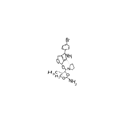 CCC(C)C(OC(N)=O)C(=O)N1CCC[C@H]1c1[nH]c(-c2ccc(Br)cc2)c2c1COC2